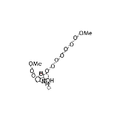 COCCOCCOCCOCCOCCOCCOCCO[C@H]1CC[C@@]2(O)[C@H]3Cc4ccc(OCOCCOC)c5c4[C@@]2(CCN3CC2CCC2)[C@H]1O5